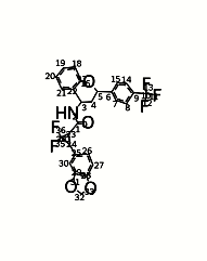 O=C(NC1CC(c2ccc(C(F)(F)F)cc2)Oc2ccccc21)C1C(c2ccc3c(c2)OCO3)C1(F)F